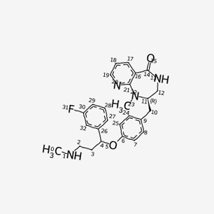 CNCCC(Oc1ccc(C[C@@H]2CNC(=O)c3cccnc3N2C)cc1)c1cccc(F)c1